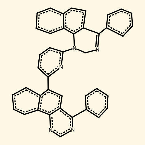 c1ccc(C2=NCN(c3cccc(-c4cc5c(-c6ccccc6)ncnc5c5ccccc45)n3)c3c2ccc2ccccc32)cc1